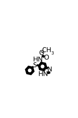 COC(=O)Nc1cc2nc[nH]c2cc1Sc1ccccc1